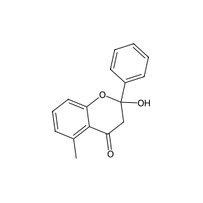 Cc1cccc2c1C(=O)CC(O)(c1ccccc1)O2